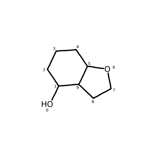 OC1CCCC2OCCC12